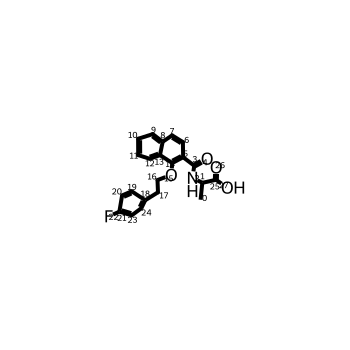 CC(NC(=O)c1ccc2ccccc2c1OCCc1ccc(F)cc1)C(=O)O